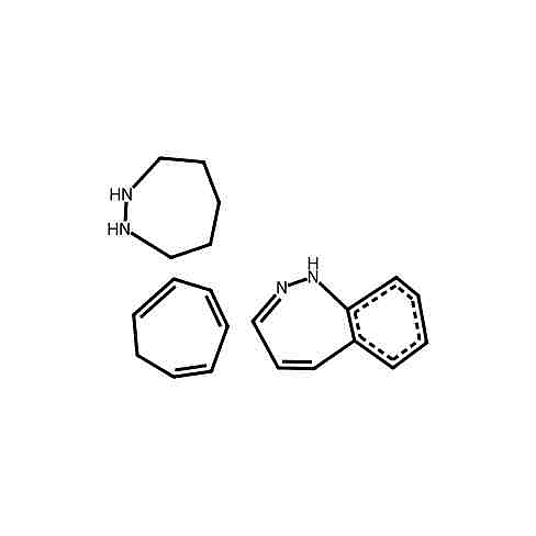 C1=CC=CCC=C1.C1=Cc2ccccc2NN=C1.C1CCNNCC1